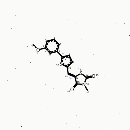 COc1cccc(-c2ccc(/C=C3\SC(=O)N(C)C3=O)s2)c1